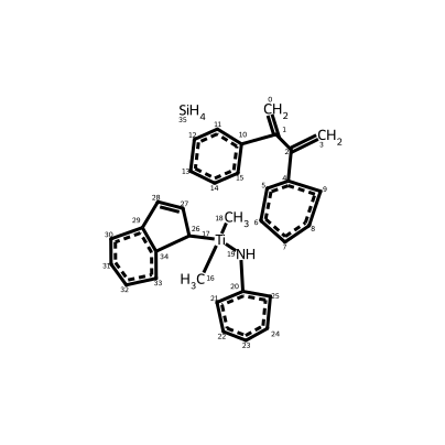 C=C(C(=C)c1ccccc1)c1ccccc1.[CH3][Ti]([CH3])([NH]c1ccccc1)[CH]1C=Cc2ccccc21.[SiH4]